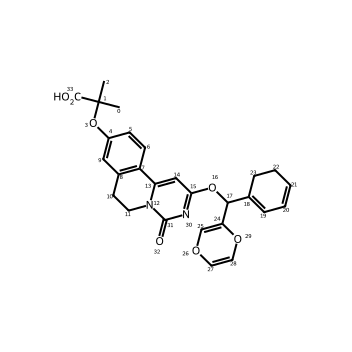 CC(C)(Oc1ccc2c(c1)CCn1c-2cc(OC(C2=CC=CCC2)C2=COC=CO2)nc1=O)C(=O)O